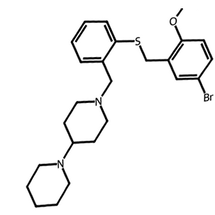 COc1ccc(Br)cc1CSc1ccccc1CN1CCC(N2CCCCC2)CC1